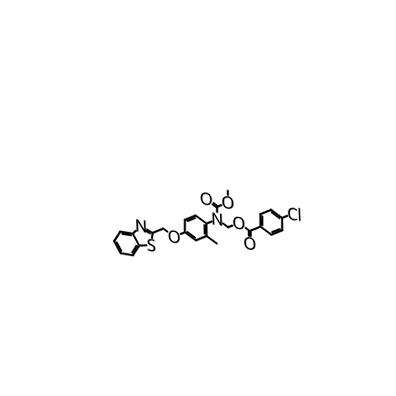 COC(=O)N(COC(=O)c1ccc(Cl)cc1)c1ccc(OCc2nc3ccccc3s2)cc1C